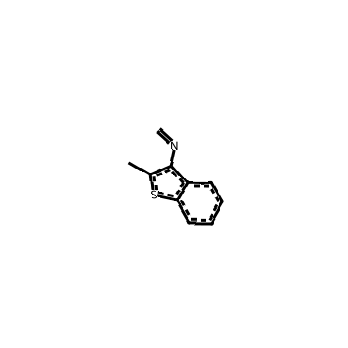 C=Nc1c(C)sc2ccccc12